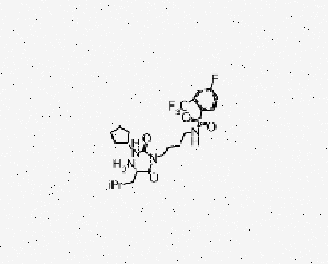 CC(C)C[C@H](N)C(=O)N(CCCCNS(=O)(=O)c1ccc(F)cc1C(F)(F)F)C(=O)NC1CCCC1